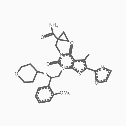 COc1ccccc1[C@H](Cn1c(=O)n(CC2(C(N)=O)CC2)c(=O)c2c(C)c(-c3ncco3)sc21)OC1CCOCC1